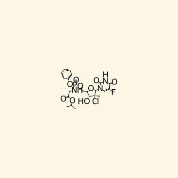 CC(C)OC(=O)[C@H](C)NP(=O)(OC[C@H]1O[C@@H](n2cc(F)c(=O)[nH]c2=O)[C@](C)(Cl)[C@@H]1O)Oc1ccccc1